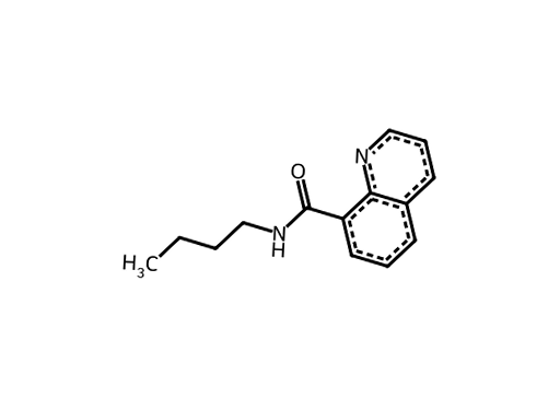 CCCCNC(=O)c1cccc2cccnc12